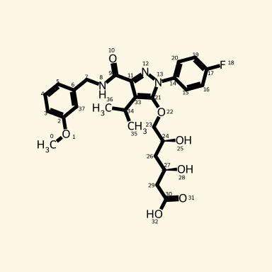 COc1cccc(CNC(=O)c2nn(-c3ccc(F)cc3)c(OC[C@@H](O)C[C@@H](O)CC(=O)O)c2C(C)C)c1